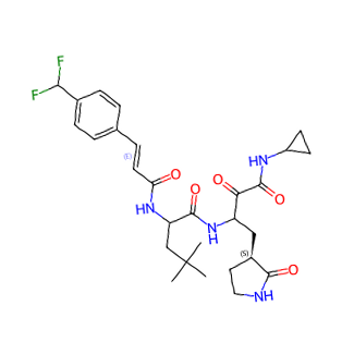 CC(C)(C)CC(NC(=O)/C=C/c1ccc(C(F)F)cc1)C(=O)NC(C[C@@H]1CCNC1=O)C(=O)C(=O)NC1CC1